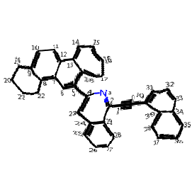 C(#Cc1nc(-c2cc3c4c(ccc3c3ccccc23)CCCC4)cc2ccccc12)c1cccc2ccccc12